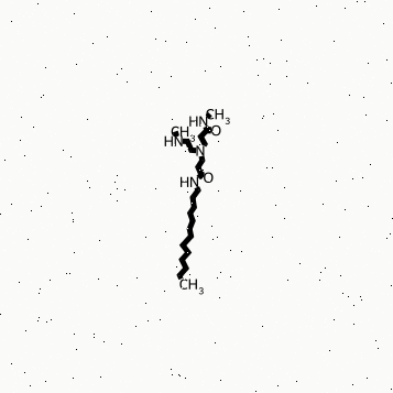 CCCCCCCCCCCCCNC(=O)CCN(CCNC)CCC(=O)NC